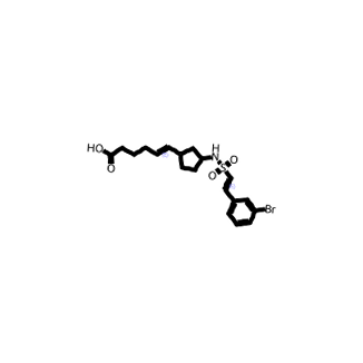 O=C(O)CCC/C=C/C1CCC(NS(=O)(=O)/C=C/c2cccc(Br)c2)C1